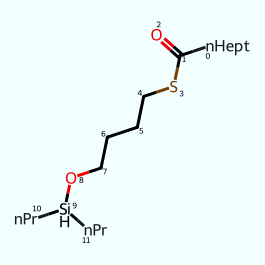 CCCCCCCC(=O)SCCCCO[SiH](CCC)CCC